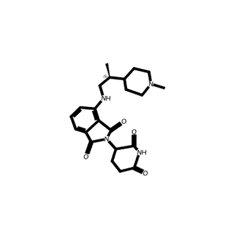 C[C@H](CNc1cccc2c1C(=O)N(C1CCC(=O)NC1=O)C2=O)C1CCN(C)CC1